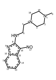 CN1CCN(CCNc2nn3ccccc3c2N=O)CC1